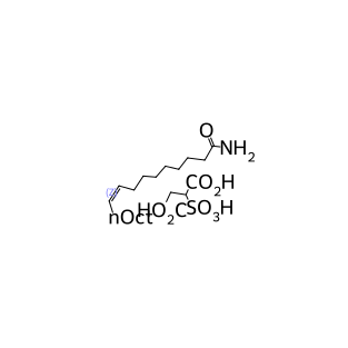 CCCCCCCC/C=C\CCCCCCCC(N)=O.O=C(O)CC(C(=O)O)S(=O)(=O)O